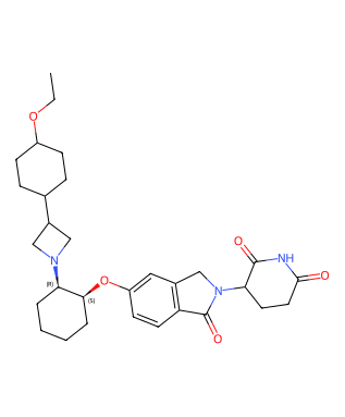 CCOC1CCC(C2CN([C@@H]3CCCC[C@@H]3Oc3ccc4c(c3)CN(C3CCC(=O)NC3=O)C4=O)C2)CC1